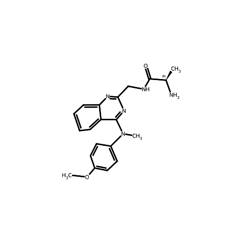 COc1ccc(N(C)c2nc(CNC(=O)[C@@H](C)N)nc3ccccc23)cc1